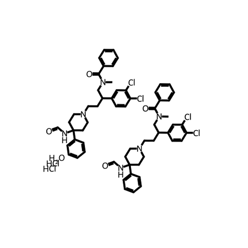 CN(CC(CCN1CCC(NC=O)(c2ccccc2)CC1)c1ccc(Cl)c(Cl)c1)C(=O)c1ccccc1.CN(CC(CCN1CCC(NC=O)(c2ccccc2)CC1)c1ccc(Cl)c(Cl)c1)C(=O)c1ccccc1.Cl.Cl.O